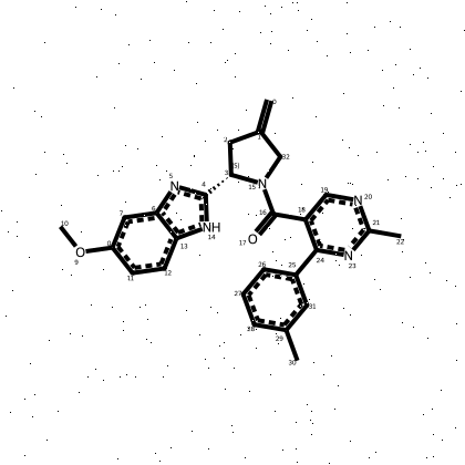 C=C1C[C@@H](c2nc3cc(OC)ccc3[nH]2)N(C(=O)c2cnc(C)nc2-c2cccc(C)c2)C1